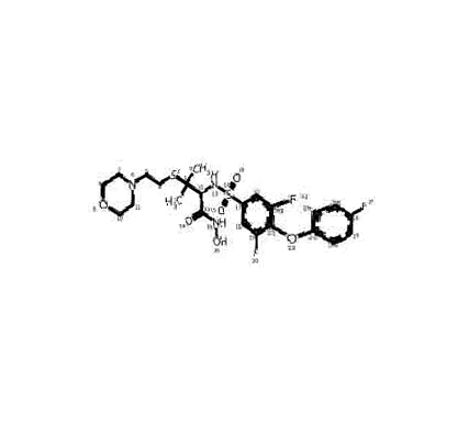 CC(C)(SCCN1CCOCC1)[C@@H](NS(=O)(=O)c1cc(F)c(Oc2ccc(F)cc2)c(F)c1)C(=O)NO